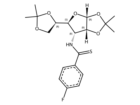 CC1(C)O[C@H]2O[C@H]([C@H]3COC(C)(C)O3)[C@@H](NC(=S)c3ccc(F)cc3)[C@H]2O1